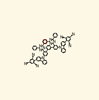 N#Cc1cc(C#N)c(-c2ccc3c(c2)c2ccccc2n3-c2ccc(-c3cccc(-c4ccc(-n5c6ccccc6c6cc(-c7c(C#N)cc(C#N)cc7C#N)ccc65)cc4-c4nc(-c5ccccc5)nc(-c5ccccc5)n4)c3)c(-c3nc(-c4ccccc4)nc(-c4ccccc4)n3)c2)c(C#N)c1